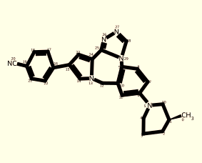 C[C@H]1CCCN(c2ccc3c(c2)Cn2cc(-c4ccc(C#N)cc4)cc2-c2nncn2-3)C1